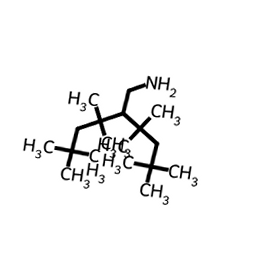 CC(C)(C)CC(C)(C)C(CN)C(C)(C)CC(C)(C)C